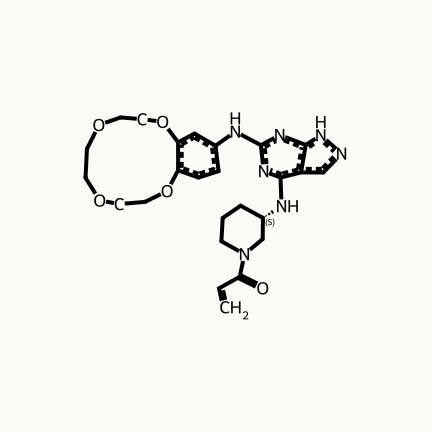 C=CC(=O)N1CCC[C@H](Nc2nc(Nc3ccc4c(c3)OCCOCCOCCO4)nc3[nH]ncc23)C1